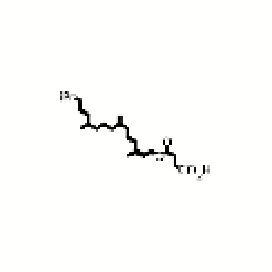 CC(=CCOC(=O)CCC(=O)O)CCCC(C)CCCC(C)CCCC(C)C